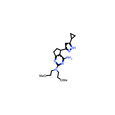 COCCN(CCOC)c1nc(N)c2c(n1)CCC2c1cc(C2CC2)[nH]n1